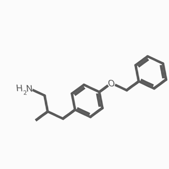 CC(CN)Cc1ccc(OCc2ccccc2)cc1